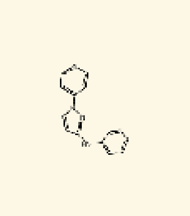 c1ccc(Nc2ccn(-c3ccncc3)n2)cc1